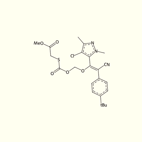 COC(=O)CSC(=O)OCO/C(=C(/C#N)c1ccc(C(C)(C)C)cc1)c1c(Cl)c(C)nn1C